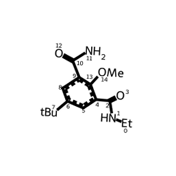 CCNC(=O)c1cc(C(C)(C)C)cc(C(N)=O)c1OC